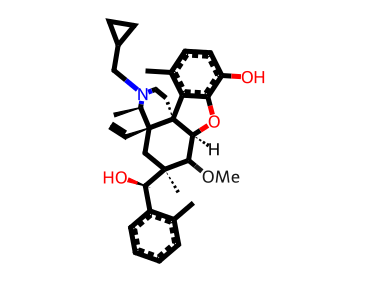 C=C[C@]12C[C@](C)([C@H](O)c3ccccc3C)C(OC)[C@@H]3Oc4c(O)ccc(C)c4[C@@]31CCN(CC1CC1)[C@@H]2C